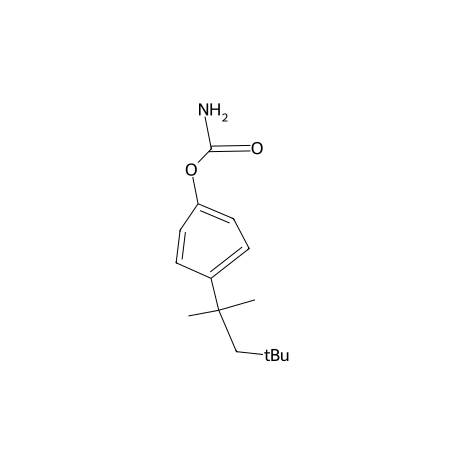 CC(C)(C)CC(C)(C)c1ccc(OC(N)=O)cc1